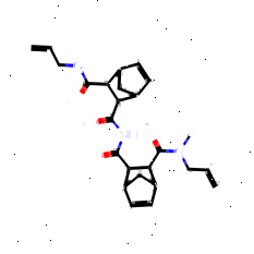 C=CCNC(=O)C1C2C=CC(C2)C1C(=O)NC(=O)C1C2C=CC(C2)C1C(=O)N(C)CC=C